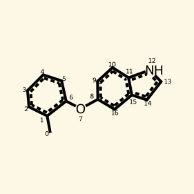 Cc1ccccc1Oc1ccc2[nH]ccc2c1